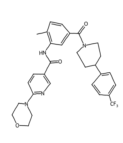 Cc1ccc(C(=O)N2CCC(c3ccc(C(F)(F)F)cc3)CC2)cc1NC(=O)c1ccc(N2CCOCC2)nc1